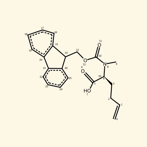 C=CCC[C@@H](C(=O)O)N(C)C(=O)OCC1c2ccccc2-c2ccccc21